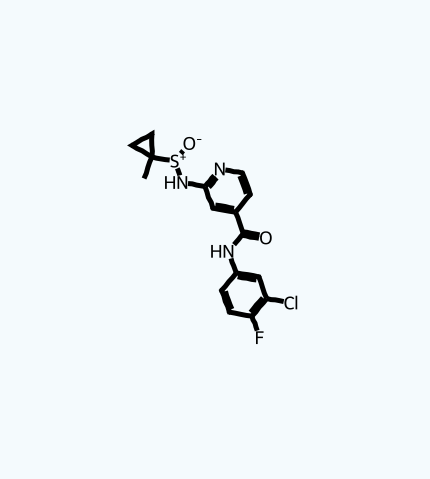 CC1([S+]([O-])Nc2cc(C(=O)Nc3ccc(F)c(Cl)c3)ccn2)CC1